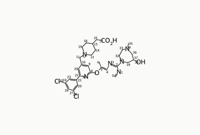 C=N/C(=N\C=C(/C)Oc1cc(CN2CCC(CC(=O)O)CC2)cc(-c2cc(Cl)cc(Cl)c2)n1)N1CCN(C)CC(O)C1